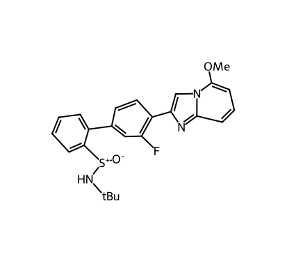 COc1cccc2nc(-c3ccc(-c4ccccc4[S+]([O-])NC(C)(C)C)cc3F)cn12